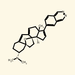 CN(C)[C@@H]1CCC2=CC3=CC[C@]4(C)C(c5ccc6cnncc6c5)=CC[C@H]4[C@@]34CC[C@]2(C1)O4